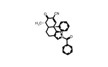 C[C@@H]1C(=O)C(C#N)=C[C@]2(c3ccccc3)c3nn(C(=O)c4ccccc4)cc3CCC12